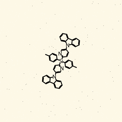 Cc1ccc([Si](c2ccc(C)cc2)(c2ccc(-n3c4ccccc4c4ccccc43)cn2)c2ccc(-n3c4ccccc4c4ccccc43)cn2)cc1